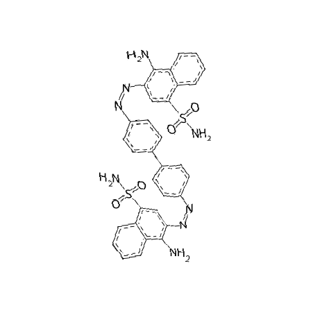 Nc1c(/N=N\c2ccc(-c3ccc(/N=N\c4cc(S(N)(=O)=O)c5ccccc5c4N)cc3)cc2)cc(S(N)(=O)=O)c2ccccc12